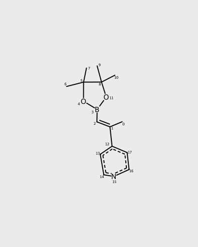 CC(=CB1OC(C)(C)C(C)(C)O1)c1ccncc1